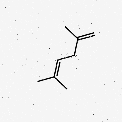 C=C(C)[CH][C]=C(C)C